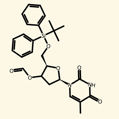 Cc1cn([C@H]2CC(OC=O)[C@@H](CO[Si](c3ccccc3)(c3ccccc3)C(C)(C)C)O2)c(=O)[nH]c1=O